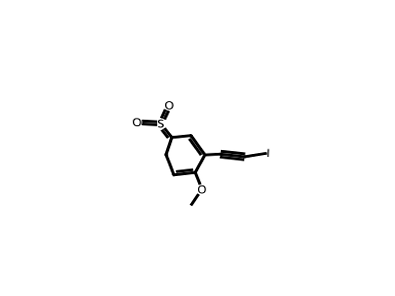 COC1=CCC(=S(=O)=O)C=C1C#CI